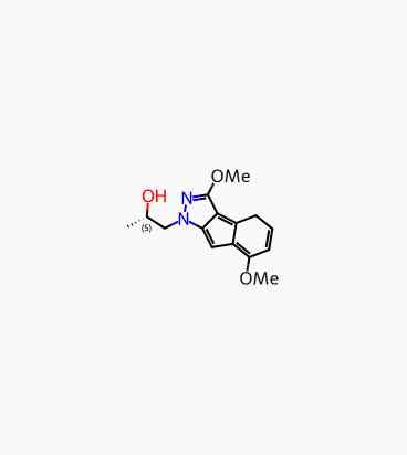 COC1=C2C=c3c(c(OC)nn3C[C@H](C)O)=C2CC=C1